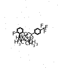 CC(C)(C)[Si](C)(C)OC(COc1cccc(F)c1C#N)c1ccc(C(F)(F)F)cc1